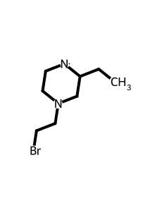 CCC1CN(CCBr)CC[N]1